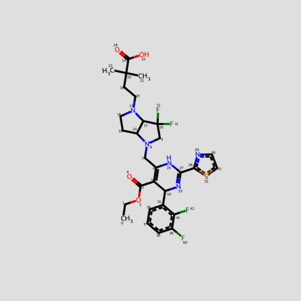 CCOC(=O)C1=C(CN2CC(F)(F)C3C2CCN3CCC(C)(C)C(=O)O)NC(c2nccs2)=NC1c1cccc(F)c1F